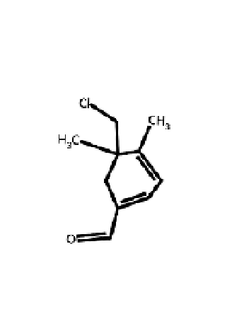 CC1=CC=C(C=O)CC1(C)CCl